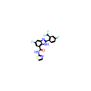 O=C(Nc1nccs1)c1cc(F)cc2nc(-c3ccc(F)cc3C(F)F)[nH]c12